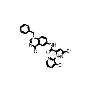 O=C(Nc1ccc2c(c1)c(=O)ncn2Cc1ccccc1)c1cc(Br)nn1-c1ncccc1Cl